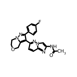 CC(=O)Nc1cn2nc(-c3c(-c4ccc(F)cc4)nn4c3COCC4)ccc2n1